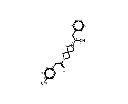 CC(Cc1ccccc1)N1CC2(CN(C(=O)Cc3ccc(Cl)cc3)C2)C1